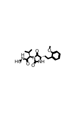 COc1ccccc1CC[C@@H]1NC(=O)N([C@@H](C(=O)NO)C(C)C)C1=O